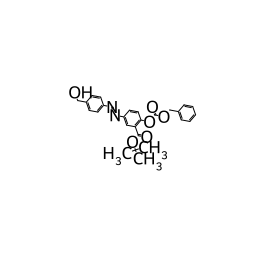 CC(C)(C)OC(=O)c1cc(N=Nc2ccc(CO)cc2)ccc1OC(=O)OCc1ccccc1